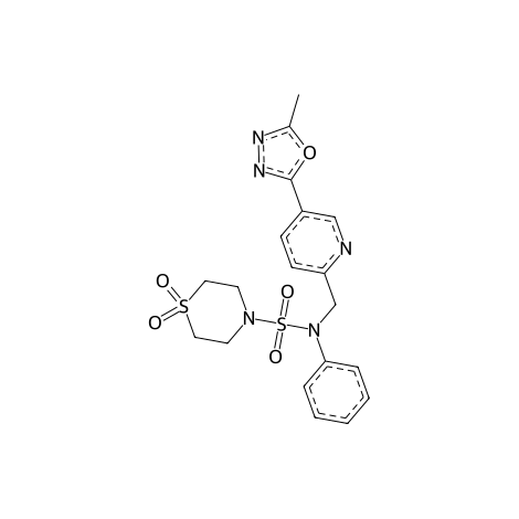 Cc1nnc(-c2ccc(CN(c3ccccc3)S(=O)(=O)N3CCS(=O)(=O)CC3)nc2)o1